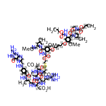 C=CCOC(=O)Nc1cc(OCCCCCOc2cc(NC(=O)OCCSSC[C@H](NC(=O)[C@H](CC(=O)O)NC(=O)[C@H](CC(=O)O)NC(=O)[C@H](CCCNC(=N)N)NC(=O)[C@H](CC(=O)O)NC(=O)CC[C@@H](C)NC(=O)c3ccc(NCc4cnc5nc(N)[nH]c(=O)c5n4)cc3)C(=O)O)c(C(=O)N3CC(=C)C[C@H]3/C=N/OC)cc2OC)c(OC)cc1C(=O)N1CC(=C)C[C@H]1C1OCCN1C(=O)OCC=C